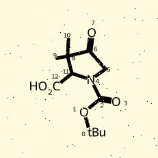 CC(C)(C)OC(=O)N1CC(=O)C(C)(C)C1C(=O)O